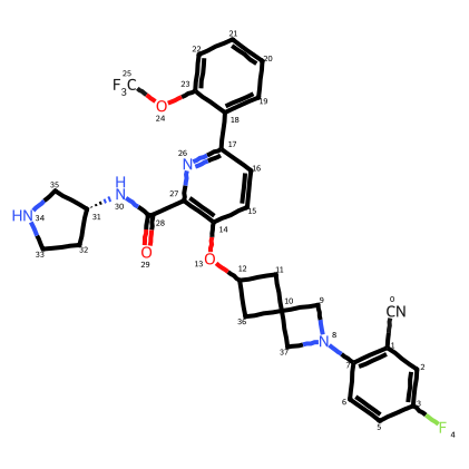 N#Cc1cc(F)ccc1N1CC2(CC(Oc3ccc(-c4ccccc4OC(F)(F)F)nc3C(=O)N[C@@H]3CCNC3)C2)C1